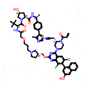 C=CC(=O)N1CCN(c2nc(OC[C@@H]3CCN(CCCOCC(=O)N[C@H](C(=O)N4C[C@H](O)C[C@H]4C(=O)N[C@@H](C)c4ccc(-c5scnc5C)cc4)C(C)(C)C)C3)nc3c(F)c(-c4cc(O)cc5ccccc45)c(Cl)cc23)C[C@@H]1CC#N